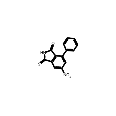 O=C1NC(=S)c2cc([N+](=O)[O-])cc(-c3ccccc3)c21